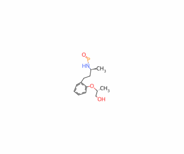 C[C@H](CO)Oc1ccccc1CC[C@H](C)NP=O